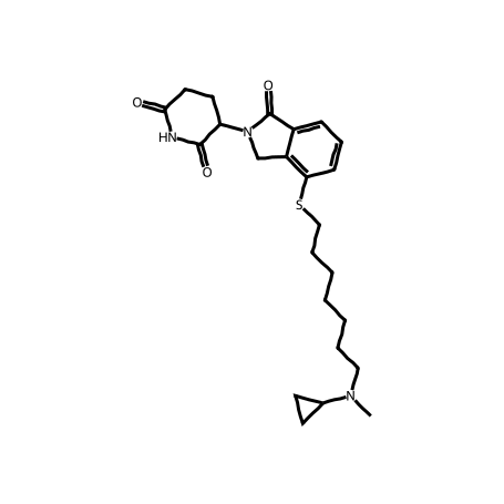 CN(CCCCCCCSc1cccc2c1CN(C1CCC(=O)NC1=O)C2=O)C1CC1